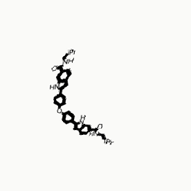 CC(C)CNC(=O)c1ccc2cc(-c3ccc(Oc4ccc(-c5cc6ccc(C(=O)NCC(C)C)cc6[nH]5)cc4)cc3)[nH]c2c1